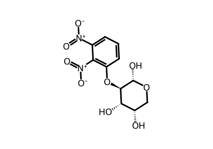 O=[N+]([O-])c1cccc(O[C@@H]2[C@@H](O)[C@@H](O)CO[C@H]2O)c1[N+](=O)[O-]